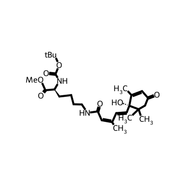 COC(=O)[C@H](CCCCNC(=O)/C=C(C)\C=C\[C@@]1(O)C(C)=CC(=O)CC1(C)C)NC(=O)OC(C)(C)C